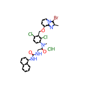 Cc1nc2c(OCc3c(Cl)ccc(N(C)C(=O)CNC(=O)Nc4cccc5ccccc45)c3Cl)cccn2c1Br.Cl